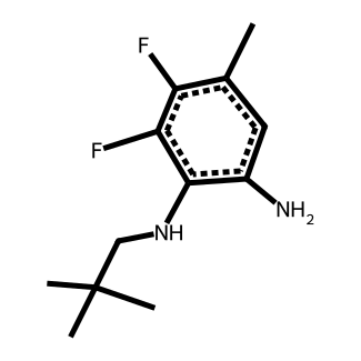 Cc1cc(N)c(NCC(C)(C)C)c(F)c1F